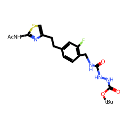 CC(=O)Nc1nc(CCc2ccc(CNC(=O)NNC(=O)OC(C)(C)C)c(F)c2)cs1